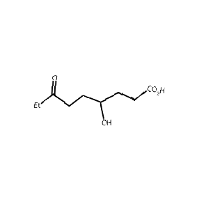 CCC(=O)CCC(O)CCC(=O)O